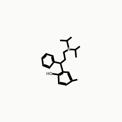 [CH2]c1ccc(O)c(C(CCN(C(C)C)C(C)C)c2ccccc2)c1